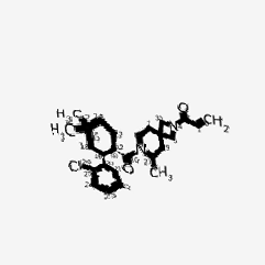 C=CC(=O)N1CC2(CCN(C(=O)[C@H]3CCC(C)(C)C[C@@H]3c3ccccc3Cl)C(C)C2)C1